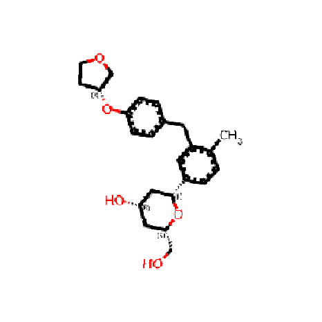 Cc1ccc([C@H]2C[C@@H](O)C[C@@H](CO)O2)cc1Cc1ccc(O[C@@H]2CCOC2)cc1